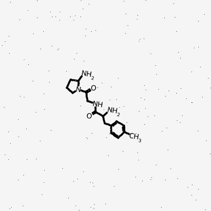 Cc1ccc(CC(N)C(=O)NCC(=O)N2CCCC2N)cc1